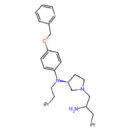 CC(C)CCN(c1ccc(OCc2ccccc2)cc1)[C@H]1CCN(CC(N)CC(C)C)C1